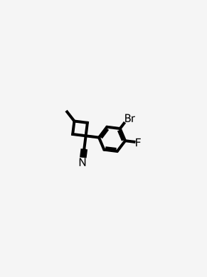 CC1CC(C#N)(c2ccc(F)c(Br)c2)C1